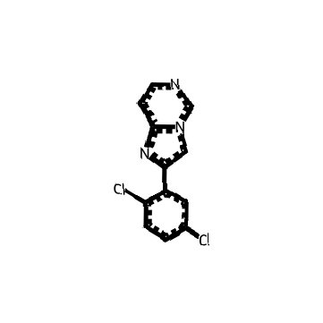 Clc1ccc(Cl)c(-c2cn3cnccc3n2)c1